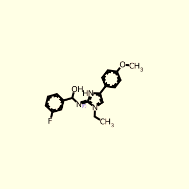 CCn1cc(-c2ccc(OC)cc2)[nH]/c1=N\C(O)c1cccc(F)c1